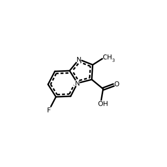 Cc1nc2ccc(F)cn2c1C(=O)O